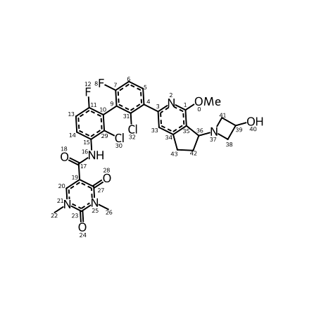 COc1nc(-c2ccc(F)c(-c3c(F)ccc(NC(=O)c4cn(C)c(=O)n(C)c4=O)c3Cl)c2Cl)cc2c1C(N1CC(O)C1)CC2